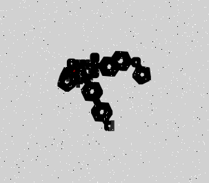 NC1CC2CCC(C1)N2C(=O)C(NS(=O)(=O)c1ccc2cc(OC3CCCC3)ccc2c1)C(F)(F)c1ccc(-c2ccc(Cl)cc2)cc1